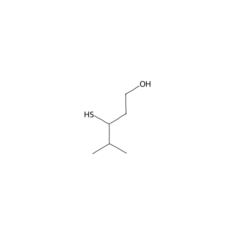 CC(C)C(S)CCO